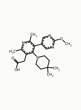 COc1ncc(-c2c(C)nc(C)c(CC(=O)O)c2N2CCC(C)(C)CC2)cn1